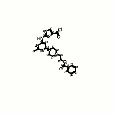 Cc1nc(Nc2ncc(C(=O)Cl)s2)cc(N2CCN(CCOC(=O)c3ccccc3)CC2)n1